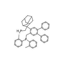 Cc1ccccc1P(Cc1cc(-c2ccccc2)c(-c2ccccc2)cc1C1(CP)C2CC3CC(C2)CC1C3)c1ccccc1C